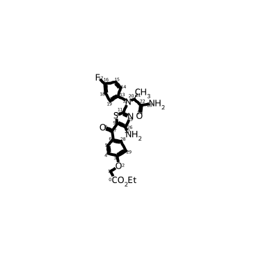 CCOC(=O)COc1ccc(C(=O)c2sc(N(c3ccc(F)cc3)[C@H](C)C(N)=O)nc2N)cc1